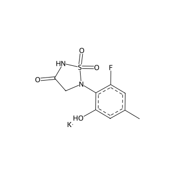 Cc1cc(O)c(N2CC(=O)NS2(=O)=O)c(F)c1.[K]